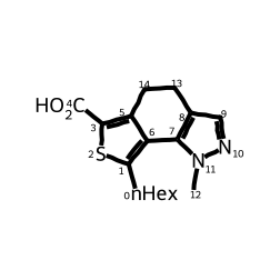 CCCCCCc1sc(C(=O)O)c2c1-c1c(cnn1C)CC2